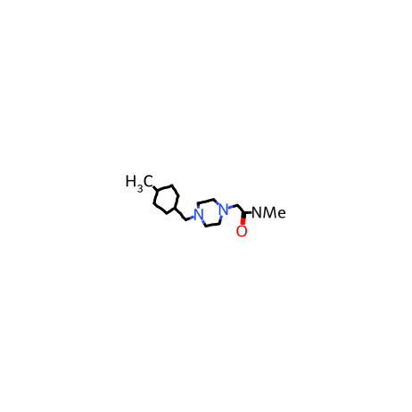 CNC(=O)CN1CCN(CC2CCC(C)CC2)CC1